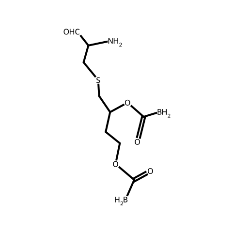 BC(=O)OCCC(CSCC(N)C=O)OC(B)=O